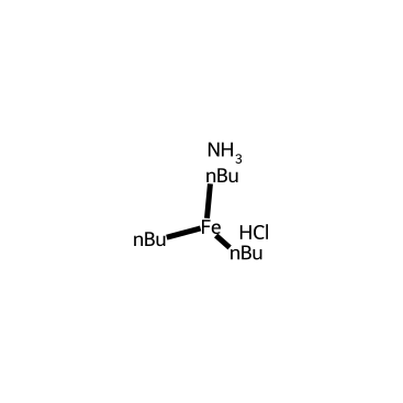 CCC[CH2][Fe]([CH2]CCC)[CH2]CCC.Cl.N